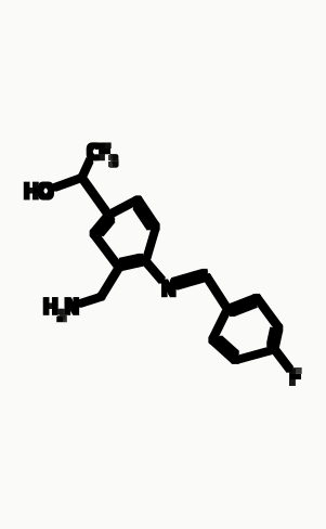 NCc1cc(C(O)C(F)(F)F)ccc1N=Cc1ccc(F)cc1